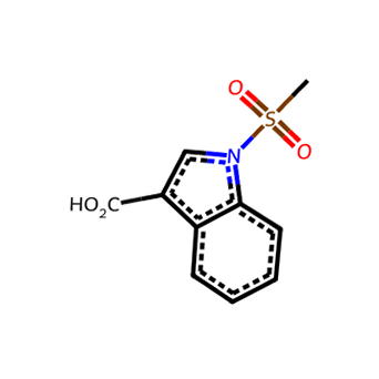 CS(=O)(=O)n1cc(C(=O)O)c2ccccc21